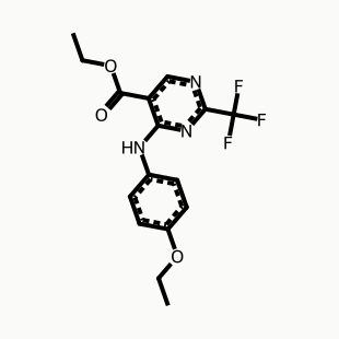 CCOC(=O)c1cnc(C(F)(F)F)nc1Nc1ccc(OCC)cc1